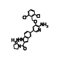 Nc1ncc(-c2ccc3[nH]c(C(=O)N4CCCC4N)cc3c2)cc1OCc1c(Cl)cccc1Cl